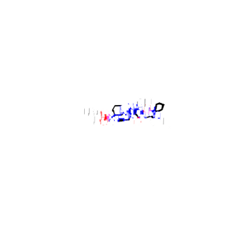 CC#CCn1c(N2CCCC(NC(=O)OC(C)(C)C)C2)nc2c1c(=O)n(Cc1nc3ccccc3nc1C)c(=O)n2C